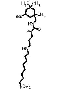 CCCCCCCCCCCCCCCCCCNCCCNC(=O)NCC1(C)CC(C(C)CC)CC(C)(C)C1